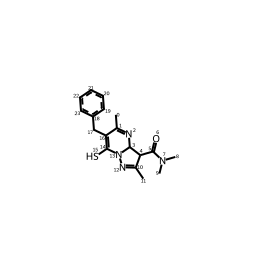 CC1=NC2C(C(=O)N(C)C)C(C)=NN2C(S)=C1Cc1ccccc1